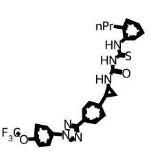 CCCc1ccccc1NC(=S)NC(=O)NC1CC1c1ccc(-c2ncn(-c3ccc(OC(F)(F)F)cc3)n2)cc1